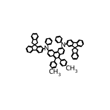 Cc1ccc(-c2c(-c3ccc(C)cc3)c3ccc(N(c4ccccc4)c4ccc5c(c4)C4(Cc6ccccc6C4)c4ccccc4-5)cc3c3cc(N(c4ccccc4)c4ccc5c(c4)C4(Cc6ccccc6C4)c4ccccc4-5)ccc23)cc1